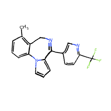 Cc1cccc2c1CN=C(c1ccc(C(F)(F)F)nc1)c1cccn1-2